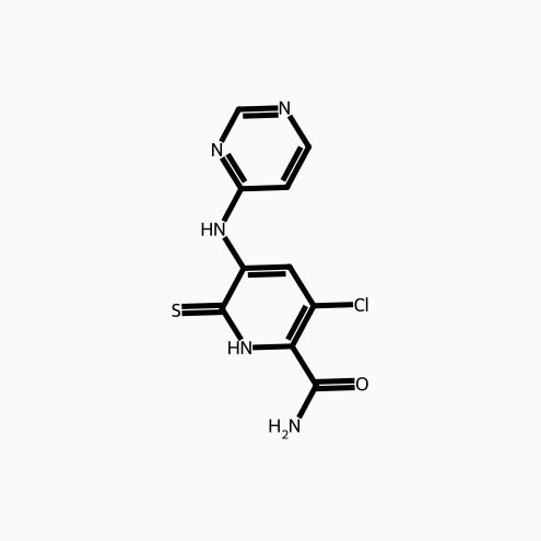 NC(=O)c1[nH]c(=S)c(Nc2ccncn2)cc1Cl